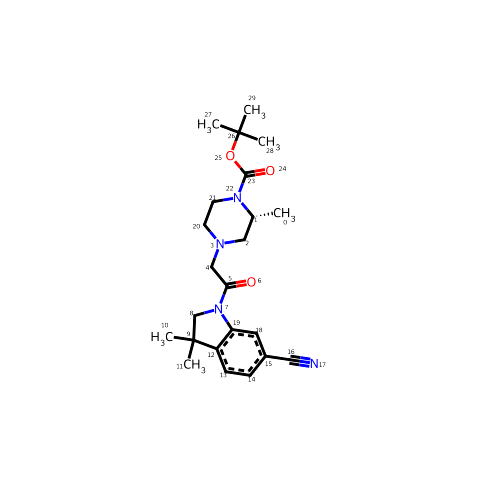 C[C@@H]1CN(CC(=O)N2CC(C)(C)c3ccc(C#N)cc32)CCN1C(=O)OC(C)(C)C